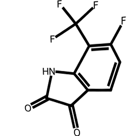 O=C1Nc2c(ccc(F)c2C(F)(F)F)C1=O